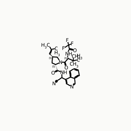 CC(C)=C[C@@H]1C[C@@H](C(=O)NC(C#N)c2cncc3ccccc23)N(C(=O)[C@@H](NC(=O)C(F)(F)F)C(C)(C)C)C1